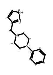 [c]1ccc(N2CCN(Cc3cc[nH]n3)CC2)cc1